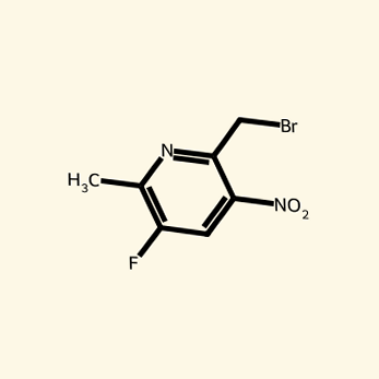 Cc1nc(CBr)c([N+](=O)[O-])cc1F